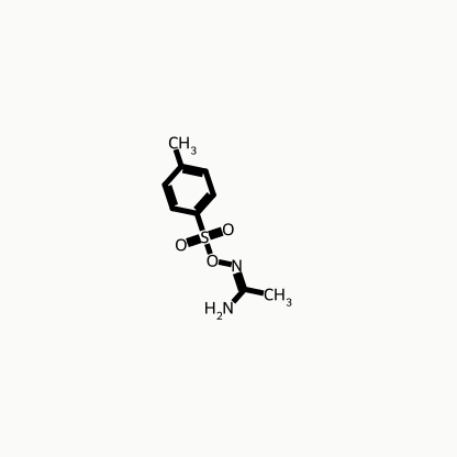 C/C(N)=N/OS(=O)(=O)c1ccc(C)cc1